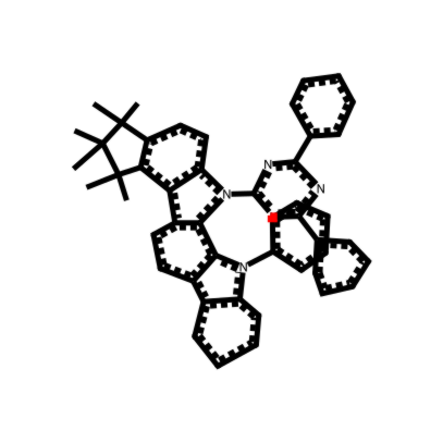 CC1(C)c2ccc3c(c2C(C)(C)C1(C)C)c1ccc2c4ccccc4n(-c4ccccc4)c2c1n3-c1nc(-c2ccccc2)nc(-c2ccccc2)n1